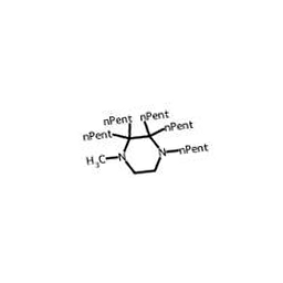 CCCCCN1CCN(C)C(CCCCC)(CCCCC)C1(CCCCC)CCCCC